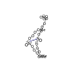 COCCOCCOCCOCC[N+]1=C(/C=C/C=C/C=C2/N(CCOCCOCCOCCOCCC(=O)ON3C(=O)CCC3=O)c3ccccc3C2(C)CCOCCOCCOCCOC)C(C)(CCOCCOCCOCCOC)c2ccccc21